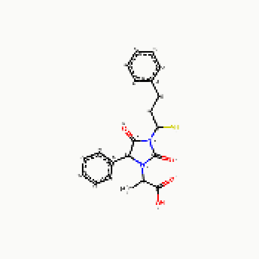 CC(C(=O)O)N1C(=O)N(C(S)CCc2ccccc2)C(=O)C1c1ccccc1